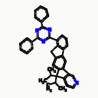 CC(C)C1(C(C)C)c2ccncc2-c2cc3c(cc21)Cc1c(-c2nc(-c4ccccc4)nc(-c4ccccc4)n2)cccc1-3